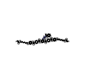 C=CC(=O)OCCCCCCOc1ccc(OC(=O)[C@H]2CC[C@H](C(=O)Oc3ccc(OC(=O)[C@H]4CC[C@H](C(=O)Oc5ccc(OCCCCCCOC(=O)C=C)cc5)CC4)c(/C=N/N=c4\sc5ccccc5n4C)c3)CC2)cc1